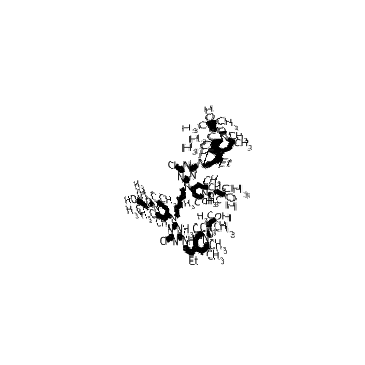 CCC(CNc1nc(Cl)nc(N(CCCCCCN(c2nc(Cl)nc(NCC(CC)C3CC(C)(C)N(OCC(C)(C)O)C(C)(C)C3)n2)C2CC(C)(C)N(OCC(C)(C)O)C(C)(C)C2)C2CC(C)(C)N(OCC(C)(C)O)C(C)(C)C2)n1)C1CC(C)(C)N(OCC(C)(C)O)C(C)(C)C1